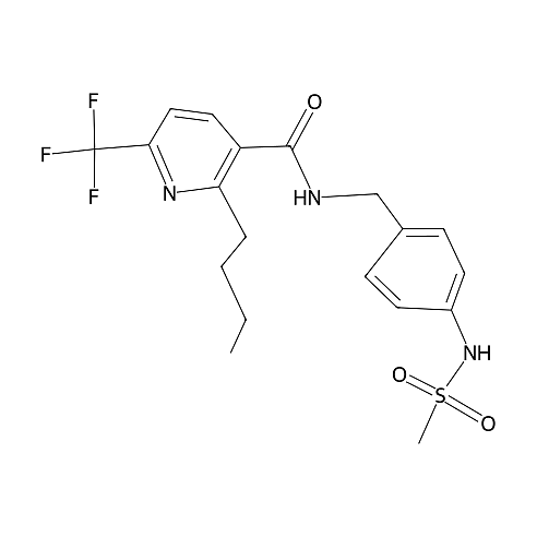 CCCCc1nc(C(F)(F)F)ccc1C(=O)NCc1ccc(NS(C)(=O)=O)cc1